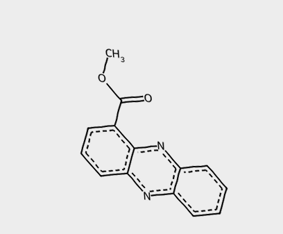 COC(=O)c1cccc2nc3ccccc3nc12